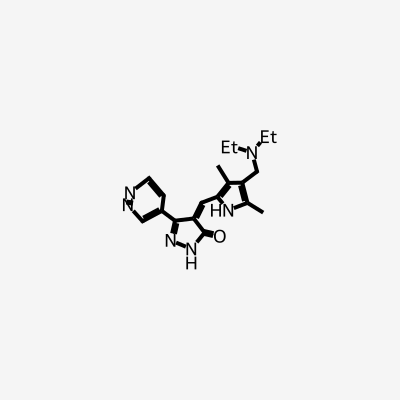 CCN(CC)Cc1c(C)[nH]c(C=C2C(=O)NN=C2c2ccnnc2)c1C